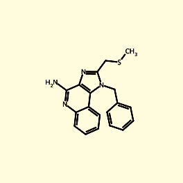 CSCc1nc2c(N)nc3ccccc3c2n1Cc1ccccc1